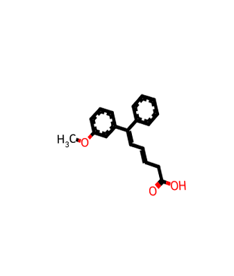 COc1cccc(/C(=C/C=C/CC(=O)O)c2ccccc2)c1